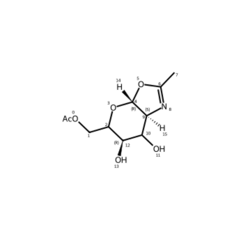 CC(=O)OCC1O[C@@H]2OC(C)=N[C@H]2C(O)[C@H]1O